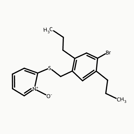 CCCc1cc(CSc2cccc[n+]2[O-])c(CCC)cc1Br